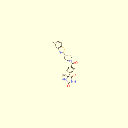 Cc1ccc2sc(C3CCN(C(=O)c4ccc(C5(C(C)C)NC(=O)NC5=O)cc4)CC3)nc2c1